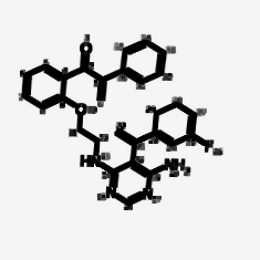 C=C(C(=O)c1ccccc1OCCNc1ncnc(N)c1C(=C)C1=CC(F)=CCC1)c1ccccc1